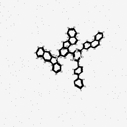 c1ccc(-c2ccc(-c3nc(-c4ccc5c(ccc6ccccc65)c4)nc(-c4cc(-n5c6ccccc6c6cc7ccccc7cc65)cc5c4-c4ccc6ccccc6c4C5)n3)cc2)cc1